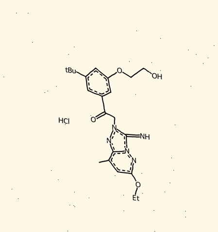 CCOc1cc(C)c2nn(CC(=O)c3cc(OCCO)cc(C(C)(C)C)c3)c(=N)n2n1.Cl